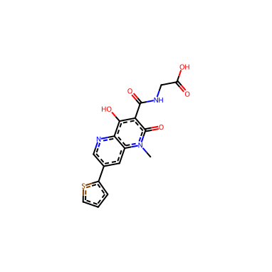 Cn1c(=O)c(C(=O)NCC(=O)O)c(O)c2ncc(-c3cccs3)cc21